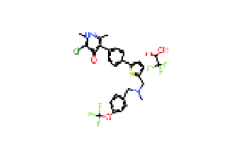 Cc1[nH]c(C)c(-c2ccc(-c3ccc(CN(C)Cc4ccc(OC(F)(F)F)cc4)s3)cc2)c(=O)c1Cl.O=C(O)C(F)(F)F